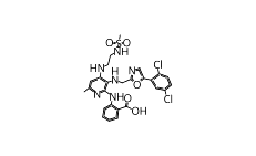 Cc1cc(NCCNS(C)(=O)=O)c(NCc2ncc(-c3cc(Cl)ccc3Cl)o2)c(Nc2ccccc2C(=O)O)n1